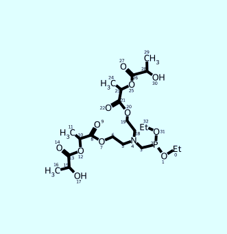 CCOP(CN(CCOC(=O)C(C)OC(=O)C(C)O)CCOC(=O)C(C)OC(=O)C(C)O)OCC